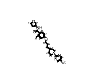 CCc1cnc(N2CCC(CCCOc3ccc(C(=O)N[C@@H]4CCOC4)c(C)c3)CC2)nc1